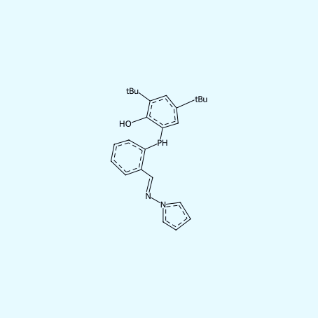 CC(C)(C)c1cc(Pc2ccccc2/C=N/n2cccc2)c(O)c(C(C)(C)C)c1